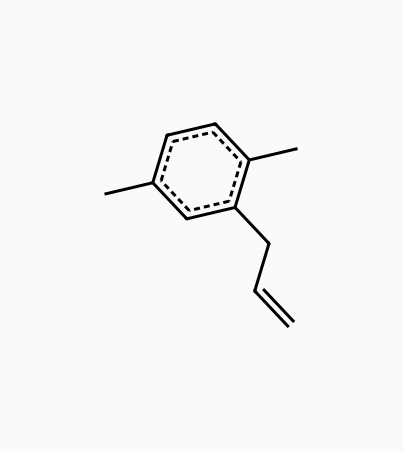 C=CCc1cc(C)ccc1C